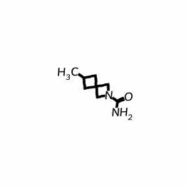 CC1CC2(C1)CN(C(N)=O)C2